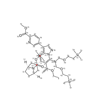 C=C(OCC)c1c([C@@H]2C[C@H]3CC[C@@H](C2)N3C(=O)OC(C)(C)C)nc2c(-c3ccc(C(=O)OC)nc3)cnn2c1N(COCC[Si](C)(C)C)COCC[Si](C)(C)C